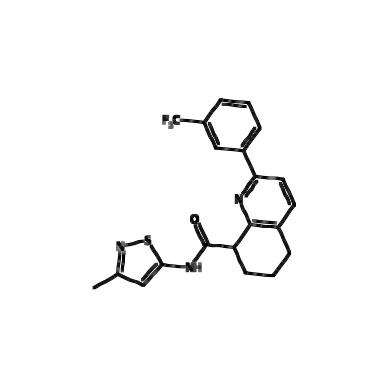 Cc1cc(NC(=O)C2CCCc3ccc(-c4cccc(C(F)(F)F)c4)nc32)sn1